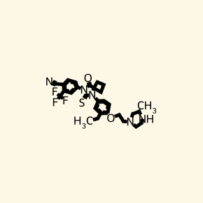 CCc1cc(N2C(=S)N(c3ccc(C#N)c(C(F)(F)F)c3)C(=O)C23CCC3)ccc1OCCN1CCN[C@H](C)C1